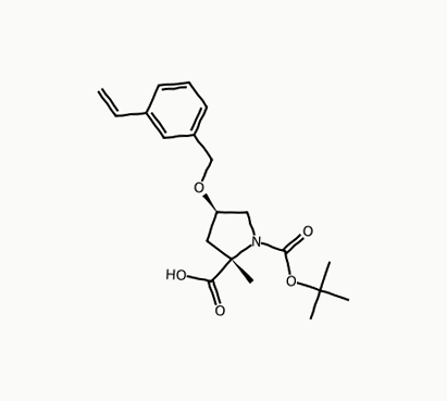 C=Cc1cccc(CO[C@H]2CN(C(=O)OC(C)(C)C)[C@](C)(C(=O)O)C2)c1